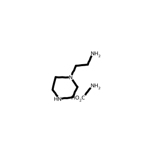 NC(=O)O.NCCN1CCNCC1